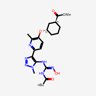 CCCCC(=O)N/C(=N\O)Nc1c(-c2ccc(O[C@H]3CCC[C@H](C(=O)OC)C3)c(C)n2)nnn1C